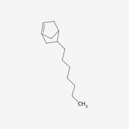 CCCCCCCC1CC2=CCC1C2